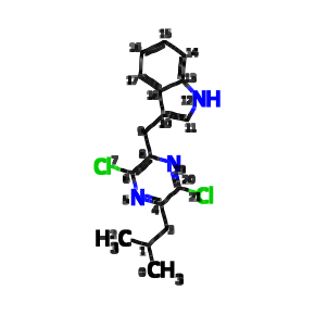 CC(C)Cc1nc(Cl)c(Cc2c[nH]c3ccccc23)nc1Cl